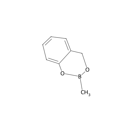 CB1OCc2ccccc2O1